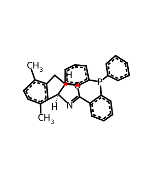 Cc1ccc(C)c2c1C[C@H]1OC(c3ccccc3P(c3ccccc3)c3ccccc3)=N[C@@H]21